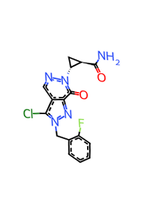 NC(=O)[C@@H]1C[C@H]1n1ncc2c(Cl)n(Cc3ccccc3F)nc2c1=O